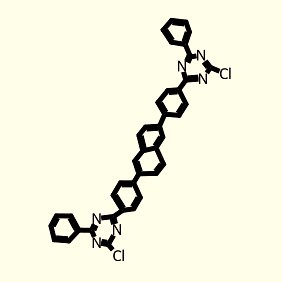 Clc1nc(-c2ccccc2)nc(-c2ccc(-c3ccc4cc(-c5ccc(-c6nc(Cl)nc(-c7ccccc7)n6)cc5)ccc4c3)cc2)n1